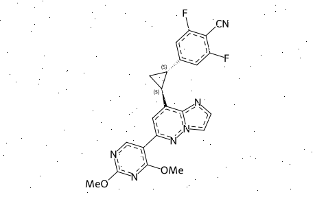 COc1ncc(-c2cc([C@H]3C[C@@H]3c3cc(F)c(C#N)c(F)c3)c3nccn3n2)c(OC)n1